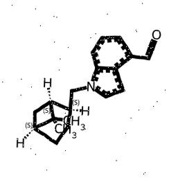 CC1(C)[C@H]2CC[C@H](Cn3ccc4c(C=O)cccc43)[C@@H]1C2